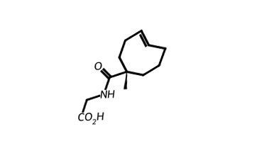 C[C@@]1(C(=O)NCC(=O)O)CC/C=C/CCC1